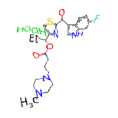 CCC(OC(=O)CCCN1CCN(C)CC1)c1csc(C(=O)c2c[nH]c3cc(F)ccc23)n1.Cl.Cl